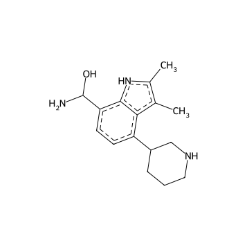 Cc1[nH]c2c(C(N)O)ccc(C3CCCNC3)c2c1C